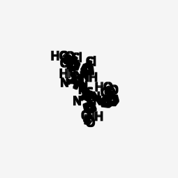 Cc1c(C#N)c(Nc2ccc(Cl)c(S(=O)(=O)O)c2)nc(Nc2ccc(Cl)cc2)c1N=Nc1sc(N=Nc2ccc3cccc(S(=O)(=O)O)c3c2)c(-c2ccc(NS(C)(=O)=O)cc2)c1C#N